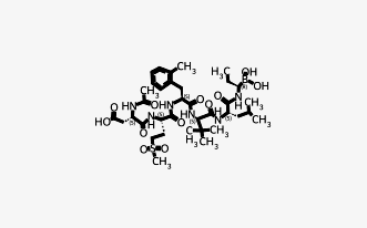 CC[C@H](NC(=O)[C@H](CC(C)C)NC(=O)[C@@H](NC(=O)[C@H](Cc1ccccc1C)NC(=O)[C@H](CCS(C)(=O)=O)NC(=O)[C@H](CC(=O)O)NC(C)=O)C(C)(C)C)B(O)O